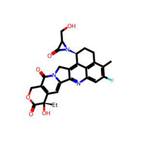 CC[C@@]1(O)C(=O)OCc2c1cc1n(c2=O)Cc2c-1nc1cc(F)c(C)c3c1c2[C@@H](N1C(=O)C1CO)CC3